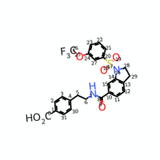 O=C(O)c1ccc(CCNC(=O)c2ccc3c(c2)N(S(=O)(=O)c2cccc(OC(F)(F)F)c2)CC3)cc1